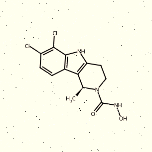 C[C@H]1c2c([nH]c3c(Cl)c(Cl)ccc23)CCN1C(=O)NO